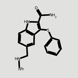 CCCNCc1ccc2[nH]c(C(N)=O)c(Sc3ccccc3)c2c1